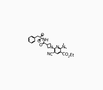 CCOC(=O)c1cc(C#N)c(N2CC(C(=O)NS(=O)(=O)Cc3ccccc3)C2)nc1N(C)C